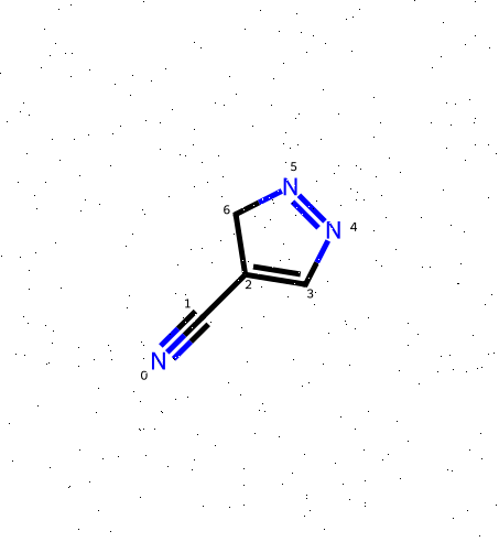 N#CC1=CN=NC1